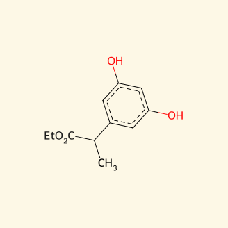 CCOC(=O)C(C)c1cc(O)cc(O)c1